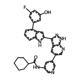 O=C(Nc1cncc(-c2cnc3[nH]nc(-c4cc5c(-c6cc(O)cc(F)c6)cccc5[nH]4)c3c2)c1)C1CCCCC1